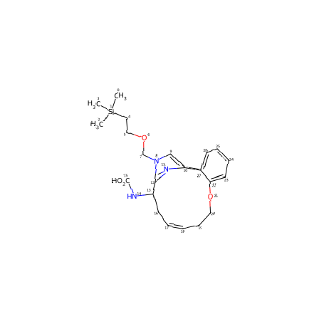 C[Si](C)(C)CCOCn1cc2nc1C(NC(=O)O)CC=CCCOc1ccccc1-2